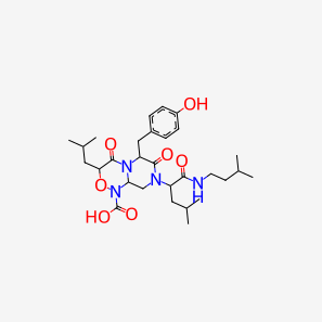 CC(C)CCNC(=O)C(CC(C)C)N1CC2N(C(=O)O)OC(CC(C)C)C(=O)N2C(Cc2ccc(O)cc2)C1=O